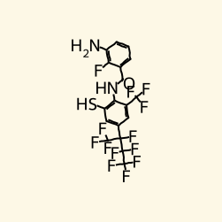 Nc1cccc(C(=O)Nc2c(S)cc(C(F)(C(F)(F)F)C(F)(F)C(F)(F)F)cc2C(F)(F)F)c1F